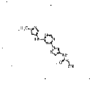 Cn1cc(Nc2cc(-n3cc(NC(=O)CC#N)cn3)ncn2)cn1